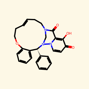 O=C1c2c(O)c(=O)ccn2N2CN1CC/C=C/CCOc1ccccc1[C@H]2c1ccccc1